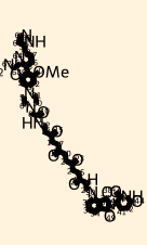 COc1cc(N2CCN(CC(=O)NCCC(=O)CCC(=O)CCC(=O)CCC(=O)CCNc3cccc4c3C(=O)N(C3CCC(=O)NC3=O)C4=O)CC2)ccc1-c1ccc(-c2ccn[nH]2)nc1C(N)=O